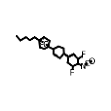 CCCCCC12CCC(C3CCC(C4CC(F)C(N=C=O)C(F)C4)CC3)(CC1)CC2